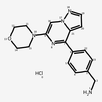 Cl.NCc1ccc(-c2nc(N3CCOCC3)cn3nccc23)cc1